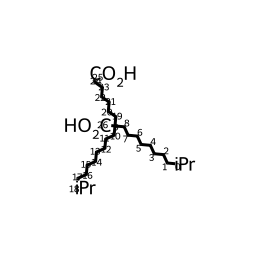 CC(C)CCCCCCCCC(CCCCCCCCC(C)C)(CCCCCCC(=O)O)C(=O)O